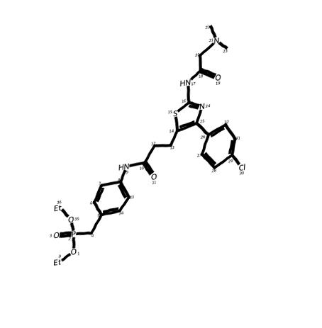 CCOP(=O)(Cc1ccc(NC(=O)CCc2sc(NC(=O)CN(C)C)nc2-c2ccc(Cl)cc2)cc1)OCC